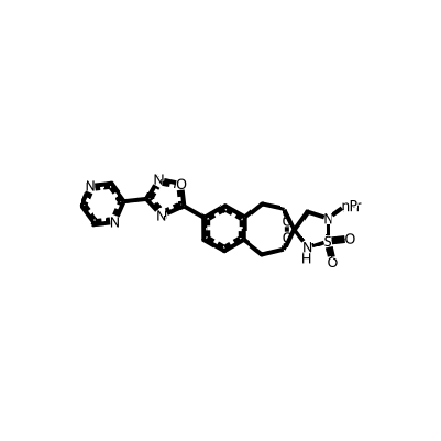 CCCN1CC2(NS1(=O)=O)C1CCC2Cc2cc(-c3nc(-c4cnccn4)no3)ccc2C1